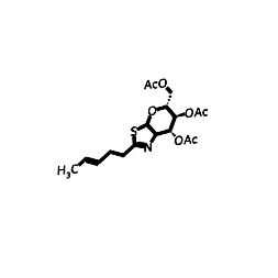 C/C=C/CCC1=NC2C(O[C@H](COC(C)=O)[C@@H](OC(C)=O)[C@@H]2OC(C)=O)S1